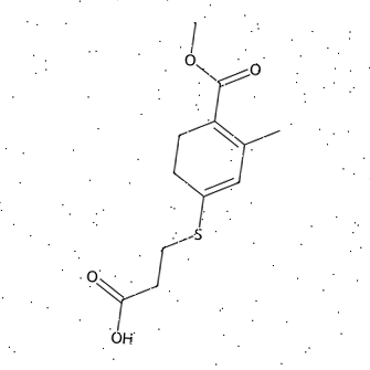 COC(=O)C1=C(C)C=C(SCCC(=O)O)CC1